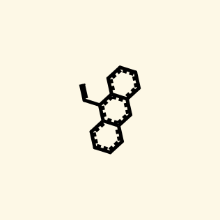 [CH]=Cc1c2ccccc2cc2ccccc12